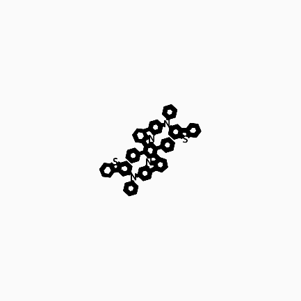 C1=Cc2sc3ccc(N(c4ccccc4)c4ccc5c6cccc7c8c(-c9ccccc9)c9c(c%10c%11n9-c9cc(N(c%12ccccc%12)c%12ccc%13sc%14ccccc%14c%13c%12)ccc9C%11CC=C%10)c(-c9ccccc9)c8n(c5c4)c67)cc3c2CC1